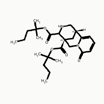 CCCC(C)(C)OC(=O)C1NC[C@H]2C[C@]1(C(=O)OC(C)(C)CCC)Cn1c2cccc1=O